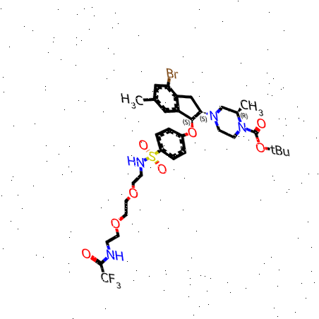 Cc1cc(Br)c2c(c1)[C@H](Oc1ccc(S(=O)(=O)NCCOCCOCCNC(=O)C(F)(F)F)cc1)[C@@H](N1CCN(C(=O)OC(C)(C)C)[C@H](C)C1)C2